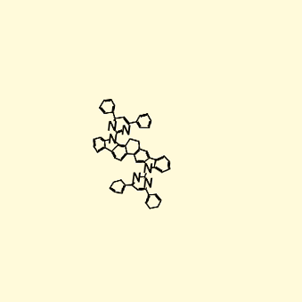 C1=CCCC(c2cc(C3=CCCC=C3)nc(-n3c4ccccc4c4cc5c(cc43)-c3ccc4c6ccccc6n(-c6nc(-c7ccccc7)cc(-c7ccccc7)n6)c4c3CC5)n2)=C1